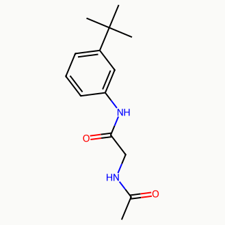 CC(=O)NCC(=O)Nc1cccc(C(C)(C)C)c1